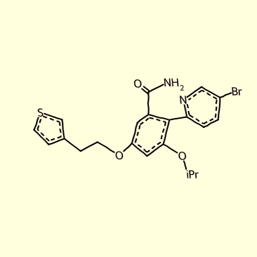 CC(C)Oc1cc(OCCc2ccsc2)cc(C(N)=O)c1-c1ccc(Br)cn1